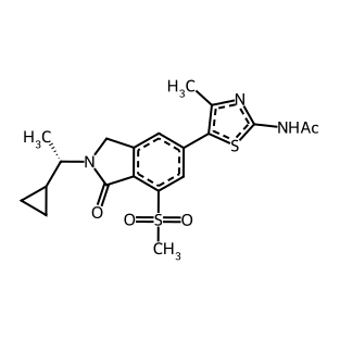 CC(=O)Nc1nc(C)c(-c2cc3c(c(S(C)(=O)=O)c2)C(=O)N([C@@H](C)C2CC2)C3)s1